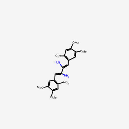 COc1cc(C=C(N)C(N)=Cc2cc(OC)c(OC)cc2[N+](=O)[O-])c([N+](=O)[O-])cc1OC